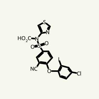 N#Cc1cc(S(=O)(=O)N(C(=O)O)c2cscn2)ccc1Oc1ccc(Cl)cc1I